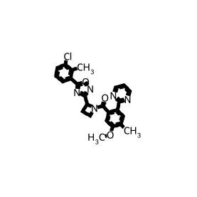 COc1cc(C(=O)N2CCC2c2noc(-c3cccc(Cl)c3C)n2)c(-c2ncccn2)cc1C